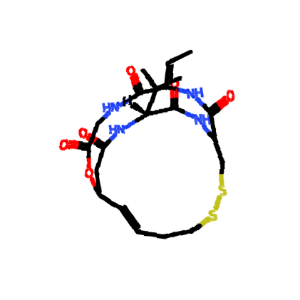 C/C=C1\NC(=O)C2CSSCC/C=C/C(CC(=O)N[C@H](C(C)C)C(=O)N2)OC(=O)CNC1=O